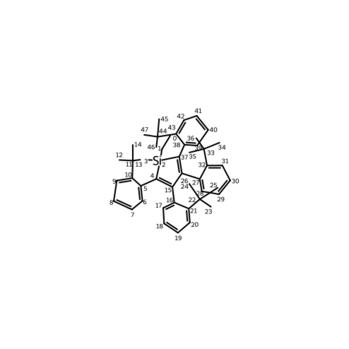 CC[Si]1(C)C(c2ccccc2C(C)(C)C)=C(c2ccccc2C(C)(C)C)C(c2ccccc2C(C)(C)C)=C1c1ccccc1C(C)(C)C